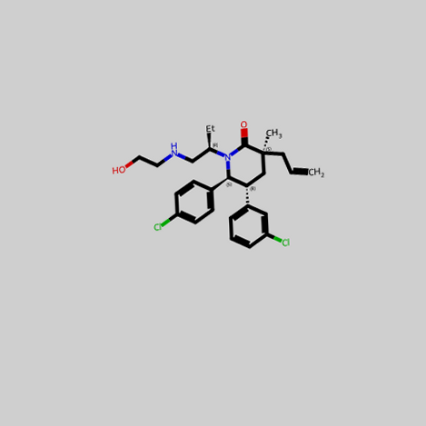 C=CC[C@@]1(C)C[C@H](c2cccc(Cl)c2)[C@@H](c2ccc(Cl)cc2)N([C@H](CC)CNCCO)C1=O